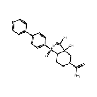 NC(=O)N1CCC(S(=O)(=O)c2ccc(-c3ccncc3)cc2)C(O)(C(=O)O)C1